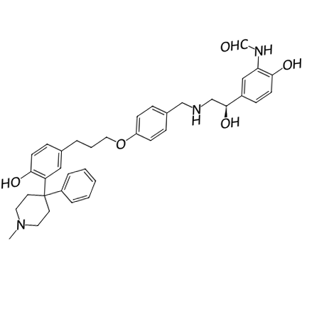 CN1CCC(c2ccccc2)(c2cc(CCCOc3ccc(CNC[C@H](O)c4ccc(O)c(NC=O)c4)cc3)ccc2O)CC1